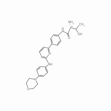 CC(O)[C@@H](N)C(=O)Nc1ccc(-c2ccnc(Nc3ccc(N4CCOCC4)cc3)n2)cc1